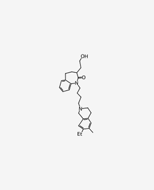 CCc1cc2c(cc1C)CCN(CCCCN1C(=O)C(CCO)CCc3ccccc31)C2